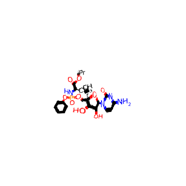 C#C[C@]1(COP(=O)(N[C@@H](C)C(=O)OC(C)C)Oc2ccccc2)O[C@@H](n2ccc(N)nc2=O)C(O)C1O